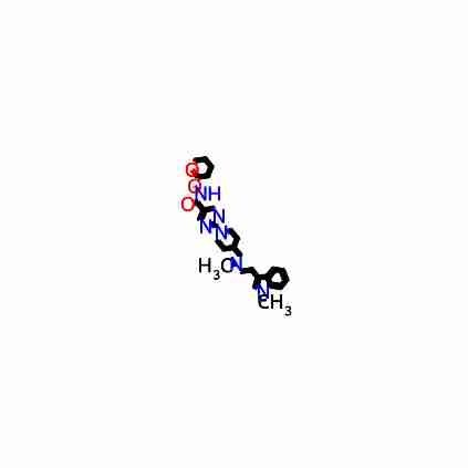 CN(CCc1cn(C)c2ccccc12)CC1CCN(c2ncc(C(=O)NOC3CCCCO3)cn2)CC1